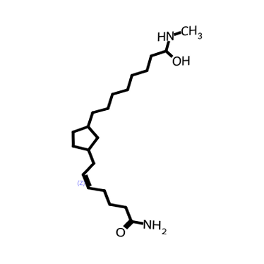 CNC(O)CCCCCCCC1CCC(C/C=C\CCCC(N)=O)C1